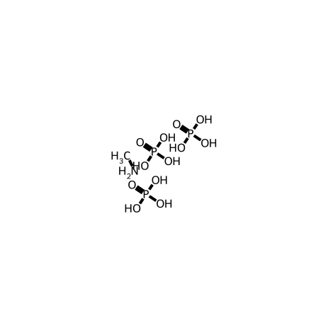 CN.O=P(O)(O)O.O=P(O)(O)O.O=P(O)(O)O